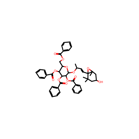 CC(/C=C/C12OC1(C)CC(O)CC2(C)C)OC1OC(COC(=O)c2ccccc2)C(OC(=O)c2ccccc2)C(OC(=O)c2ccccc2)C1OC(=O)c1ccccc1